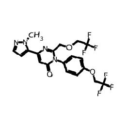 Cn1nccc1-c1cc(=O)n(-c2ccc(OCC(F)(F)F)cc2)c(COCC(F)(F)F)n1